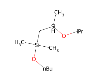 CCCCO[Si](C)(C)C[SiH](C)OC(C)C